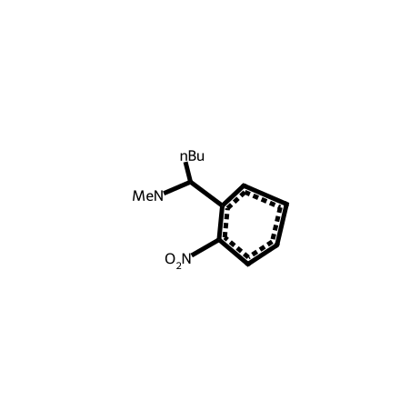 CCCCC(NC)c1ccccc1[N+](=O)[O-]